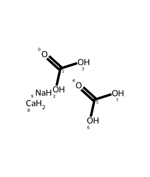 O=C(O)O.O=C(O)O.[CaH2].[NaH]